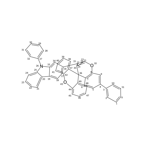 c1ccc(-c2ccc3c(c2)Oc2cccc(-c4ccc5c6ccccc6n(-c6ccccc6)c5c4)c2C32c3ccccc3Oc3ccccc32)cc1